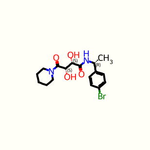 C[C@@H](NC(=O)[C@@H](O)[C@H](O)C(=O)N1CCCCC1)c1ccc(Br)cc1